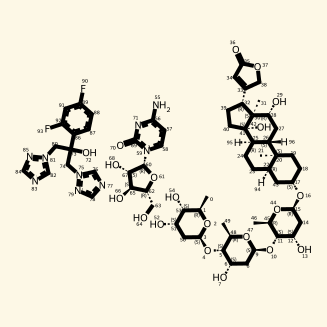 C[C@H]1O[C@@H](O[C@H]2[C@@H](O)C[C@H](O[C@H]3[C@@H](O)C[C@H](O[C@H]4CC[C@@]5(C)[C@H](CC[C@@H]6[C@@H]5C[C@@H](O)[C@]5(C)[C@@H](C7=CC(=O)OC7)CC[C@]65O)C4)O[C@@H]3C)O[C@@H]2C)C[C@H](O)[C@@H]1O.Nc1ccn([C@@H]2O[C@H](CO)[C@@H](O)[C@@H]2O)c(=O)n1.OC(Cn1cncn1)(Cn1cncn1)c1ccc(F)cc1F